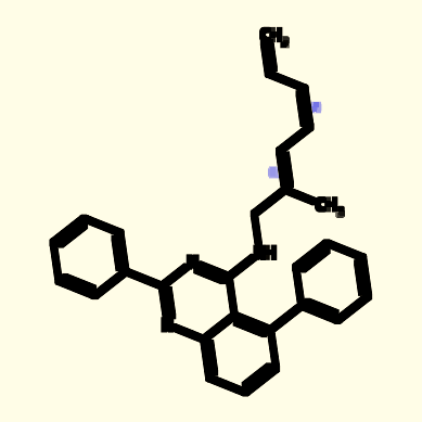 C=C/C=C\C=C(/C)CNc1nc(-c2ccccc2)nc2cccc(-c3ccccc3)c12